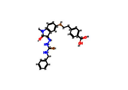 CN1C(=O)C(=NNC(=S)NCc2ccccc2)c2cc(SCCc3ccc(C(=O)O)cc3)ccc21